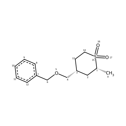 C[C@@H]1C[C@H](COCc2ccccc2)CCS1(=O)=O